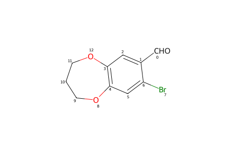 O=Cc1cc2c(cc1Br)OCCCO2